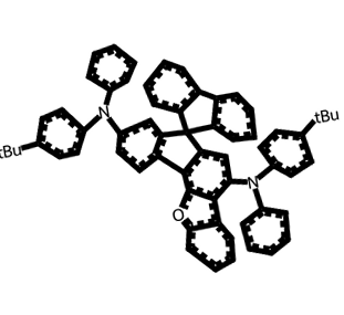 CC(C)(C)c1ccc(N(c2ccccc2)c2ccc3c(c2)C2(c4ccccc4-c4ccccc42)c2cc(N(c4ccccc4)c4ccc(C(C)(C)C)cc4)c4c(oc5ccccc54)c2-3)cc1